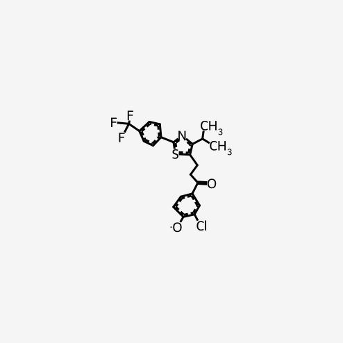 CC(C)c1nc(-c2ccc(C(F)(F)F)cc2)sc1CCC(=O)c1ccc([O])c(Cl)c1